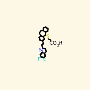 O=C(O)CCSC1c2ccccc2CCc2ccc(/C=C/c3ccc4cc(F)c(F)cc4n3)cc21